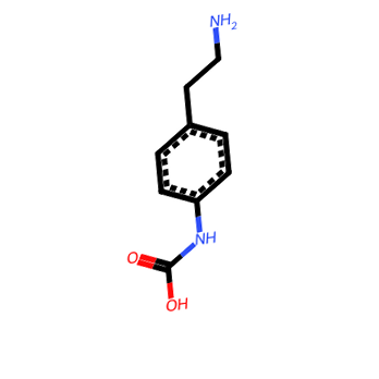 NCCc1ccc(NC(=O)O)cc1